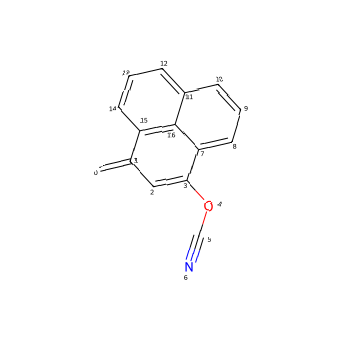 C=c1cc(OC#N)c2cccc3cccc1c32